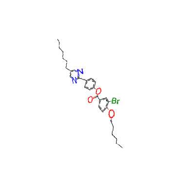 CCCCCCCc1cnc(-c2ccc(OC(=O)c3ccc(OCCCCCC)c(Br)c3)cc2)nc1